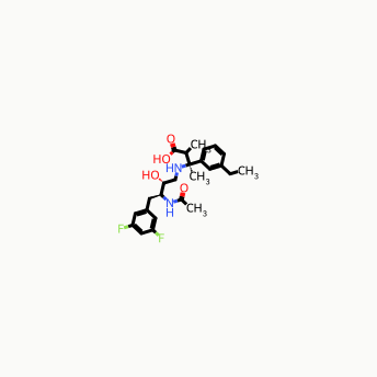 CCc1cccc([C@@](C)(NC[C@@H](O)[C@H](Cc2cc(F)cc(F)c2)NC(C)=O)C(C)C(=O)O)c1